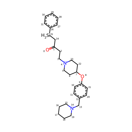 O=C(CCN1CCC(Oc2ccc(CN3CCCCC3)cc2)CC1)C[SiH2]c1ccccc1